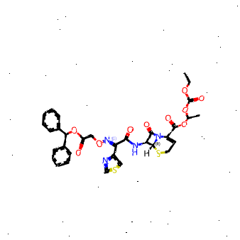 CCOC(=O)OC(C)OC(=O)C1=CCS[C@@H]2C(NC(=O)/C(=N/OCC(=O)OC(c3ccccc3)c3ccccc3)c3cscn3)C(=O)N12